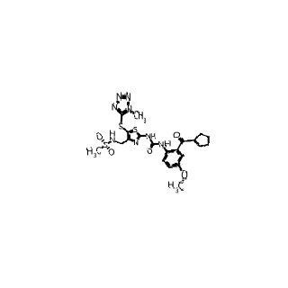 COc1ccc(NC(=O)Nc2nc(CNS(C)(=O)=O)c(Sc3nnnn3C)s2)c(C(=O)C2CCCC2)c1